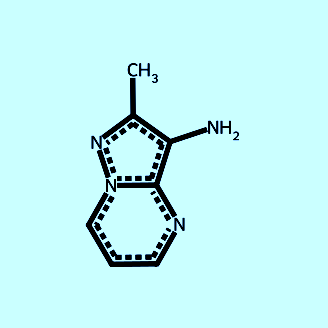 Cc1nn2cccnc2c1N